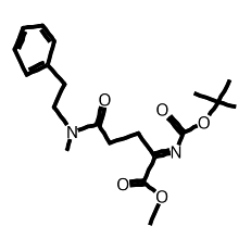 COC(=O)/C(CCC(=O)N(C)CCc1ccccc1)=N/C(=O)OC(C)(C)C